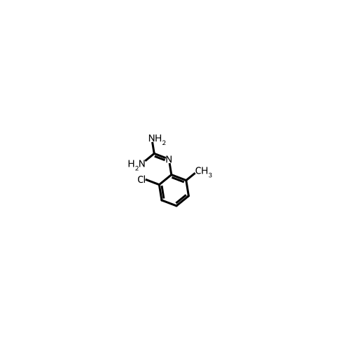 Cc1cccc(Cl)c1N=C(N)N